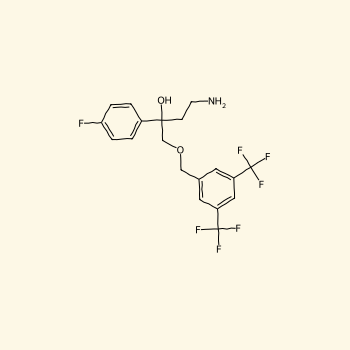 NCCC(O)(COCc1cc(C(F)(F)F)cc(C(F)(F)F)c1)c1ccc(F)cc1